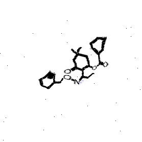 CC/C(=N/OCc1ccccc1)C1=C(OC(=O)c2ccccc2)CC(C)(C)CC1=O